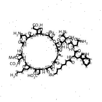 CCC(C)CCCCCCC(=O)NC(Cc1c[nH]c2ccccc12)C(=O)NC(CC(N)=O)C(=O)NC(C(=O)NC1C(=O)N(C)CC(=O)NC(C)C(=O)NC(CC(=O)O)C(=O)NC(CCCCN)C(=O)NC(C(OC)C(=O)O)C(=O)NCC(=O)NC(CC(N)=O)C(=O)NC(C(C)CC(=O)O)C(=O)NC(C(C)CC)C(=O)OC1C)C(O)C(N)=O